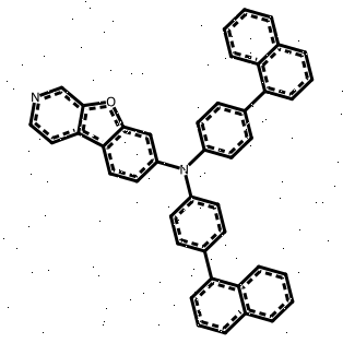 c1ccc2c(-c3ccc(N(c4ccc(-c5cccc6ccccc56)cc4)c4ccc5c(c4)oc4cnccc45)cc3)cccc2c1